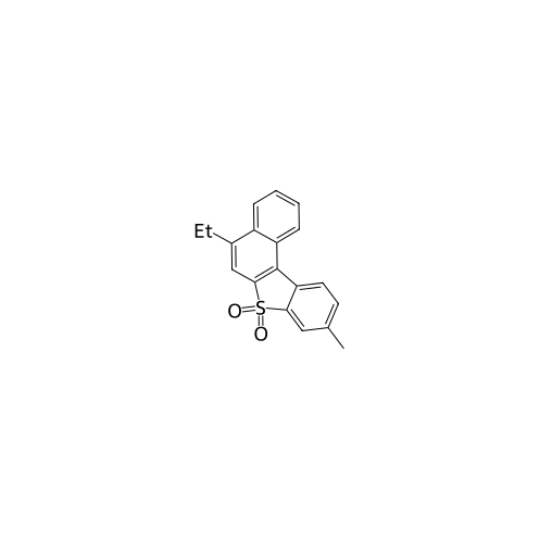 CCc1cc2c(c3ccccc13)-c1ccc(C)cc1S2(=O)=O